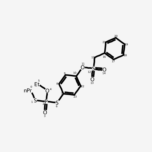 CCCSP(=O)(OCC)Sc1ccc(OS(=O)(=O)Cc2ccccc2)cc1